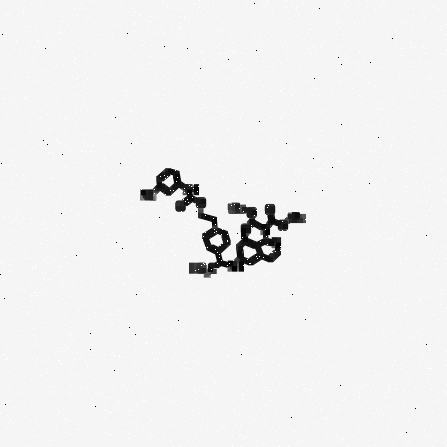 CC(C)(C)OC(=O)N(C(=O)OC(C)(C)C)c1nccc2cc(NC(C(=O)O)c3ccc(CCOC(=O)Nc4cccc(C#N)c4)cc3)cc(F)c12